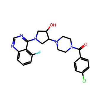 O=C(c1ccc(Cl)cc1)N1CCN(C2CN(c3ncnc4cccc(F)c34)CC2O)CC1